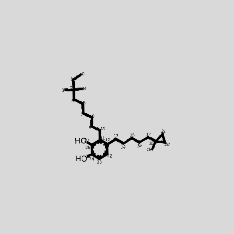 CCC(C)(C)CCCCCCc1c(CCCCCC2(C)CC2)ccc(O)c1O